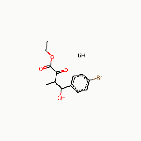 CCOC(=O)C(=O)C(C)C(O)c1ccc(Br)cc1.[LiH]